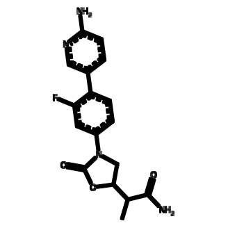 CC(C(N)=O)C1CN(c2ccc(-c3ccc(N)nc3)c(F)c2)C(=O)O1